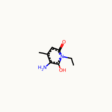 CCn1c(O)c(N)c(C)cc1=O